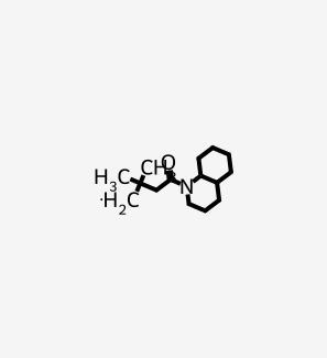 [CH2]C(C)(C)CC(=O)N1CCCC2CCCCC21